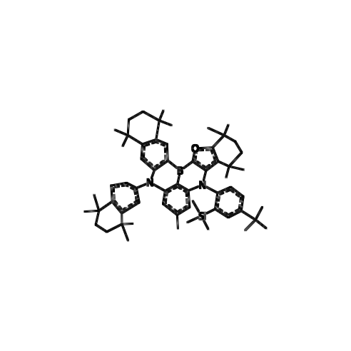 Cc1cc2c3c(c1)N(c1ccc(C(C)(C)C)cc1[Si](C)(C)C)c1c(oc4c1C(C)(C)CCC4(C)C)B3c1cc3c(cc1N2c1ccc2c(c1)C(C)(C)CCC2(C)C)C(C)(C)CCC3(C)C